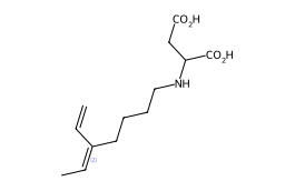 C=C/C(=C\C)CCCCNC(CC(=O)O)C(=O)O